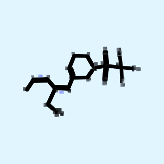 C/C=C\C(=C/C1=CCCN(S(=O)(=O)C(F)(F)F)C1)CN